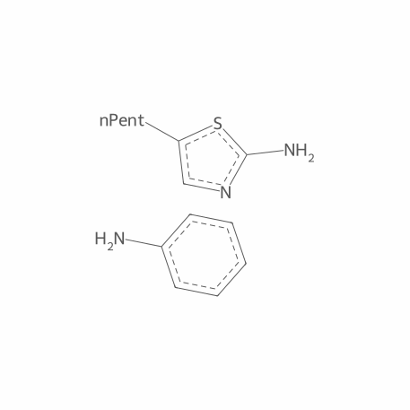 CCCCCc1cnc(N)s1.Nc1ccccc1